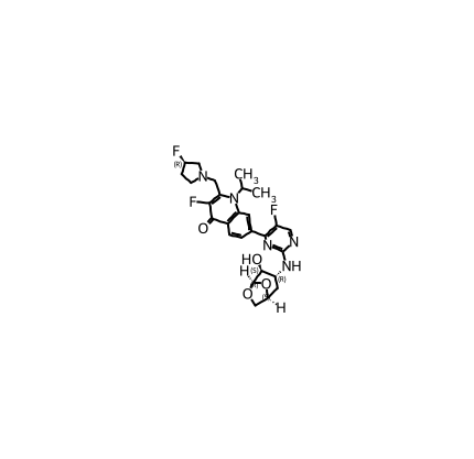 CC(C)n1c(CN2CC[C@@H](F)C2)c(F)c(=O)c2ccc(-c3nc(N[C@@H]4C[C@H]5CO[C@H](O5)[C@H]4O)ncc3F)cc21